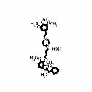 COc1cc(CCN2CCN(CCCCOc3c(OC)cccc3[N+]3(C)Sc4ccccc4C(C)C3=O)CC2)cc(OC)c1OC.Cl.Cl